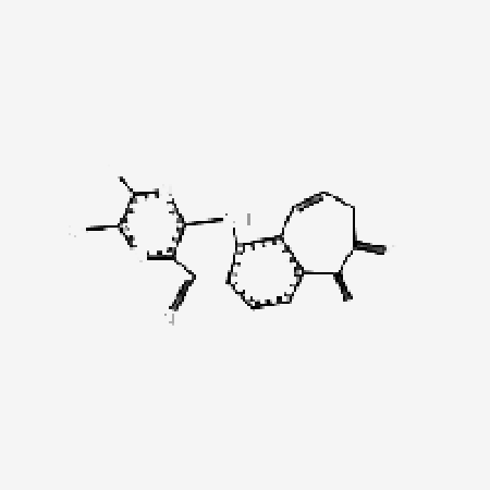 C=C1CC=Cc2c(Nc3nc(C)c(Cl)nc3C=N)cccc2C1=O